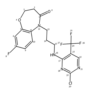 O=C1CCOc2cc(F)ccc2N1CCCNc1nc(Cl)ncc1C(F)(F)F